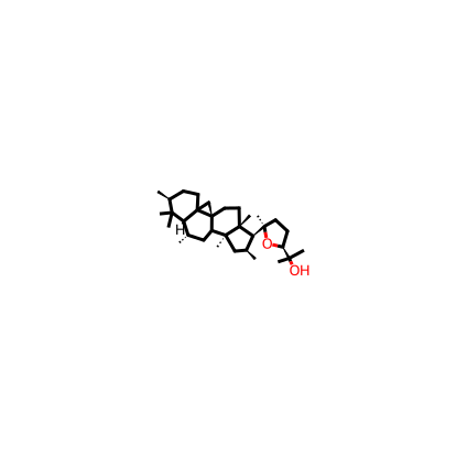 C[C@H]1C[C@@]2(C)C3C[C@H](C)[C@H]4C(C)(C)[C@@H](C)CCC45C[C@@]35CC[C@]2(C)[C@H]1[C@@]1(C)CC[C@@H](C(C)(C)O)O1